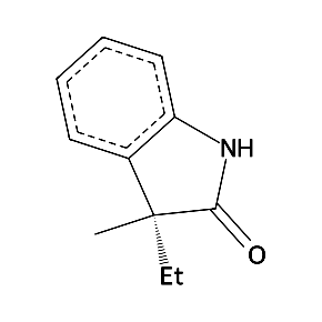 CC[C@@]1(C)C(=O)Nc2ccccc21